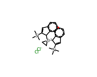 C[Si](C)(C)C1=Cc2ccccc2[CH]1[Zr+2]1([CH]2C([Si](C)(C)C)=Cc3ccccc32)[CH2][CH2]1.[Cl-].[Cl-]